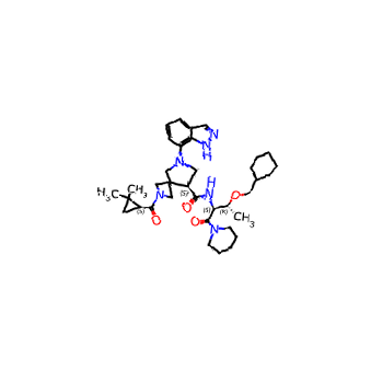 C[C@@H](OCC1CCCCC1)[C@H](NC(=O)[C@@H]1CN(c2cccc3cn[nH]c23)CC12CN(C(=O)[C@H]1CC1(C)C)C2)C(=O)N1CCCCC1